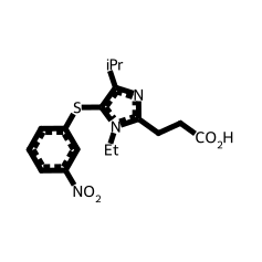 CCn1c(CCC(=O)O)nc(C(C)C)c1Sc1cccc([N+](=O)[O-])c1